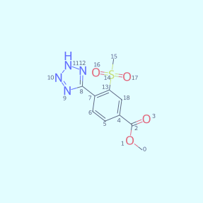 COC(=O)c1ccc(-c2nn[nH]n2)c(S(C)(=O)=O)c1